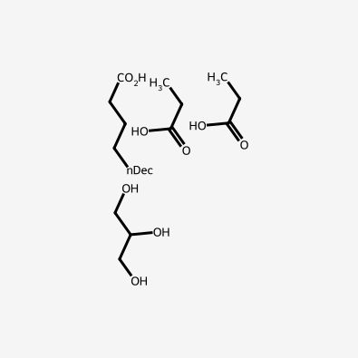 CCC(=O)O.CCC(=O)O.CCCCCCCCCCCCCC(=O)O.OCC(O)CO